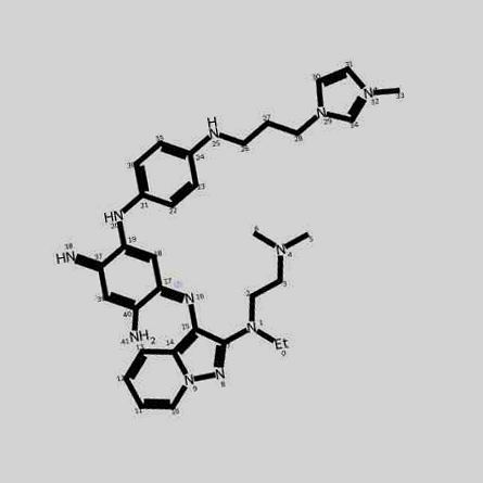 CCN(CCN(C)C)c1nn2ccccc2c1/N=C1/C=C(Nc2ccc(NCCCn3cc[n+](C)c3)cc2)C(=N)C=C1N